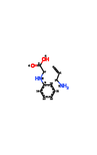 C=CCN.O=C(O)CNc1ccccc1